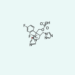 C[N+](C)(C)C(COP(=O)([O-])O)(c1ccc(F)cc1F)C(Cn1cncn1)Cn1cncn1